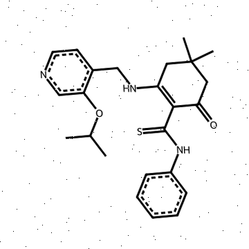 CC(C)Oc1cnccc1CNC1=C(C(=S)Nc2ccccc2)C(=O)CC(C)(C)C1